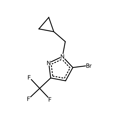 FC(F)(F)c1cc(Br)n(CC2CC2)n1